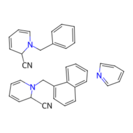 N#CC1C=CC=CN1Cc1cccc2ccccc12.N#CC1C=CC=CN1Cc1ccccc1.c1ccncc1